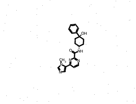 Cn1cncc1-c1ccnc(C(=O)N[C@H]2CC[C@@](O)(c3ccccc3)CC2)n1